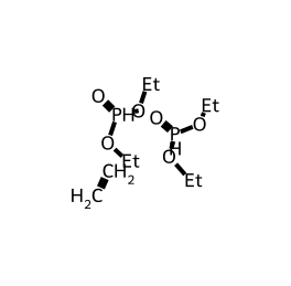 C=C.CCO[PH](=O)OCC.CCO[PH](=O)OCC